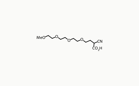 COCCOCCOCCOCCC(C#N)C(=O)O